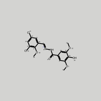 COc1cc(C(=O)N/N=C/c2cc(Cl)cc(Cl)c2OC)cc(OC)c1O